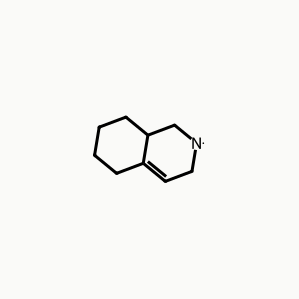 C1=C2CCCCC2C[N]C1